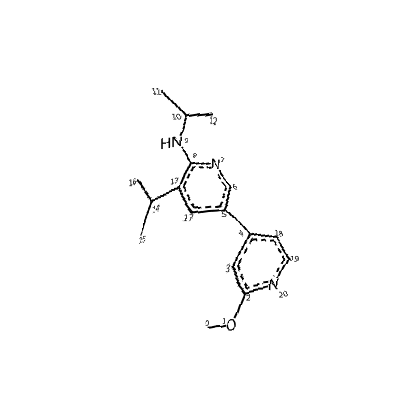 COc1cc(-c2cnc(NC(C)C)c(C(C)C)c2)ccn1